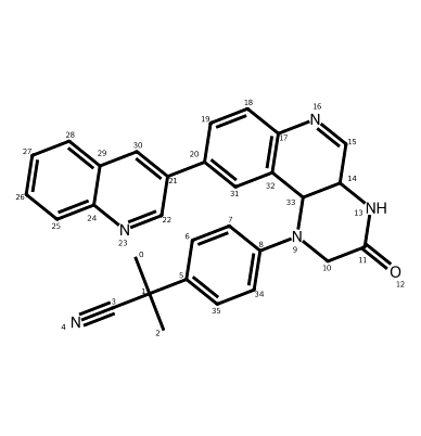 CC(C)(C#N)c1ccc(N2CC(=O)NC3C=Nc4ccc(-c5cnc6ccccc6c5)cc4C32)cc1